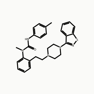 Cc1ccc(NC(=O)N(C)c2ccccc2CCN2CCN(c3nsc4ccccc34)CC2)cc1